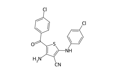 N#Cc1c(Nc2ccc(Cl)cc2)sc(C(=O)c2ccc(Cl)cc2)c1N